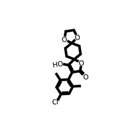 Cc1cc(Cl)cc(C)c1C1=C(O)C2(CCC3(CC2)OCCO3)OC1=O